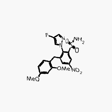 COc1ccc(Cc2cc([N+](=O)[O-])cc(S(N)(=O)=O)c2-n2cc(F)cn2)c(OC)c1